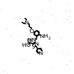 CCN(CC)CCCOc1ccc(N)c(CNc2nc(-c3ccncc3)sc2C(=O)O)c1